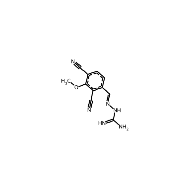 COc1c(C#N)ccc(C=NNC(=N)N)c1C#N